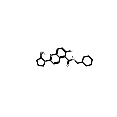 NC1CCCN1c1ccc2c(C(=O)NCC3CCCCC3)c(Cl)ccc2n1